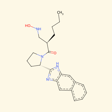 CCCC[C@H](CNO)C(=O)N1CCC[C@H]1c1nc2cc3ccccc3cc2[nH]1